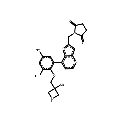 Cc1cc(C#N)cc(-c2ccnc3cc(CN4C(=O)CCC4=O)sc23)c1OCC1(C#N)CNC1